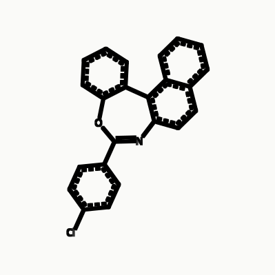 Clc1ccc(C2=Nc3ccc4ccccc4c3-c3ccccc3O2)cc1